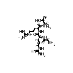 C[C@H](NC(=O)[C@H](CCCNC(=N)N)NC(=O)[C@H](CCCNC(=N)N)NC(=O)CN)C(=O)O